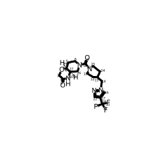 O=C1CO[C@H]2CCN(C(=O)N3CCC(Cn4cc(C(F)(F)F)cn4)CC3)C[C@H]2N1